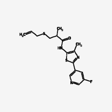 C=CCSCC(C)C(=O)Nc1sc(-c2cncc(F)c2)nc1C